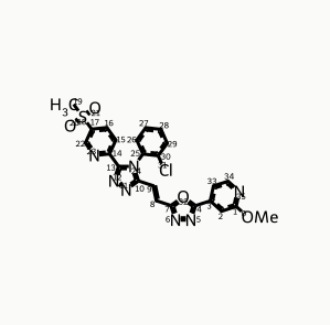 COc1cc(-c2nnc(C=Cc3nnc(-c4ccc(S(C)(=O)=O)cn4)n3-c3ccccc3Cl)o2)ccn1